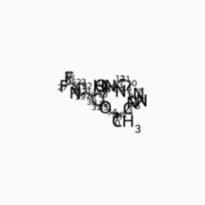 C[C@@H]1CCn2cnnc2-c2cccc(n2)NC(=O)c2cc(-c3ccc(C(F)F)nc3)ccc2OC1